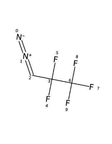 [N-]=[N+]=CC(F)(F)C(F)(F)F